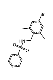 Cc1cc(Br)cc(C)c1CNS(=O)(=O)c1ccccc1